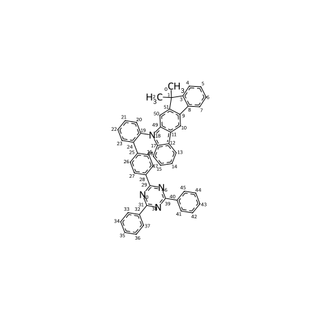 CC1(C)c2ccccc2-c2cc3c4ccccc4n(-c4ccccc4-c4ccc(-c5nc(-c6ccccc6)nc(-c6ccccc6)n5)cc4)c3cc21